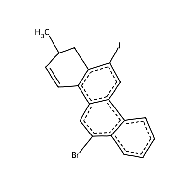 CC1C=Cc2c(c(I)cc3c2cc(Br)c2ccccc23)C1